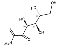 CNC(=O)C(=O)[C@@H](O)[C@H](O)[C@H](O)CO